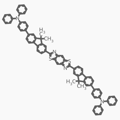 CC1(C)c2cc(-c3ccc(N(c4ccccc4)c4ccccc4)cc3)ccc2-c2ccc(-c3nc4cc5sc(-c6ccc7c(c6)C(C)(C)c6cc(-c8ccc(N(c9ccccc9)c9ccccc9)cc8)ccc6-7)nc5cc4s3)cc21